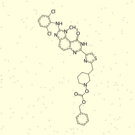 Cn1c(Nc2c(Cl)cccc2Cl)nc2ccc3nc(-c4csc(CC5CCCN(OC(=O)OCc6ccccc6)C5)n4)[nH]c(=O)c3c21